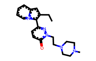 CCc1cc2ccccn2c1-c1ccc(=O)n(CCN2CCN(C)CC2)n1